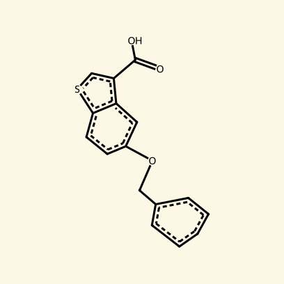 O=C(O)c1csc2ccc(OCc3ccccc3)cc12